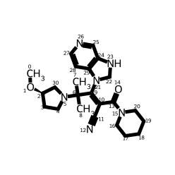 CO[C@@H]1CCN(C(C)(C)C(=C(C#N)C(=O)N2CCCCC2)N2CNc3cnccc32)C1